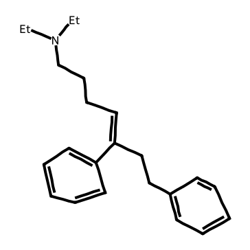 CCN(CC)CCCC=C(CCc1ccccc1)c1ccccc1